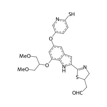 COCC(COC)Oc1cc(Oc2ccc(S)nc2)cc2cc(C3=NCC(CC=O)S3)[nH]c12